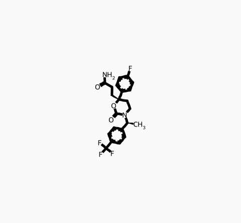 C[C@@H](c1ccc(C(F)(F)F)cc1)N1CC[C@@](CCC(N)=O)(c2ccc(F)cc2)OC1=O